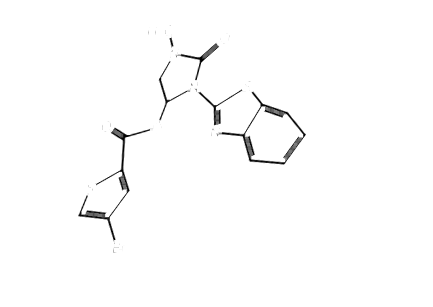 CN1CC(OC(=O)c2cc(Br)cs2)N(c2nc3ccccc3s2)C1=O